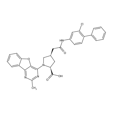 Cc1nc(N2C[C@@H](CC(=O)Nc3ccc(-c4ccccc4)c(Cl)c3)C[C@H]2C(=O)O)c2oc3ccccc3c2n1